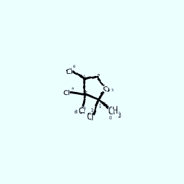 CC1(Cl)OCC(Cl)C1(Cl)Cl